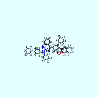 c1ccc(-c2ccc(N(c3ccccc3)c3nc(-c4cc(-c5ccccc5)c5c(c4)oc4cc6ccccc6cc45)c4ccccc4n3)cc2)cc1